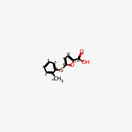 Cc1ccccc1Sc1ccc(C(=O)O)o1